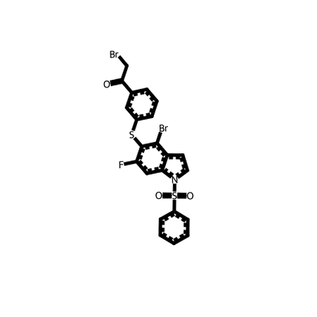 O=C(CBr)c1cccc(Sc2c(F)cc3c(ccn3S(=O)(=O)c3ccccc3)c2Br)c1